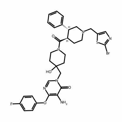 Nc1c(Oc2ccc(F)cc2)ncn(CC2(O)CCN(C(=O)[C@@H]3CCN(Cc4cnc(Br)s4)C[C@H]3c3ccccc3)CC2)c1=O